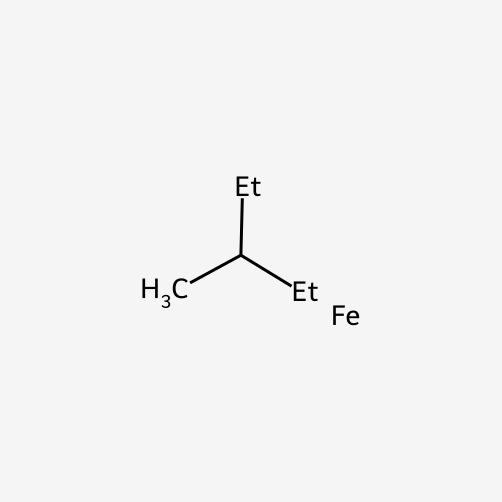 CCC(C)CC.[Fe]